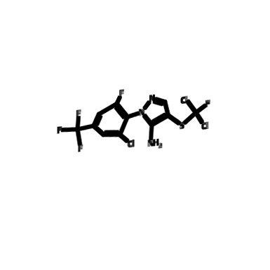 Nc1c(SC(F)(Cl)Cl)cnn1-c1c(F)cc(C(F)(F)F)cc1Cl